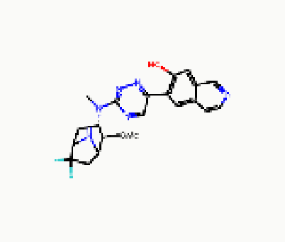 CO[C@H]1C2CC(F)(F)C(C[C@@H]1N(C)c1ncc(-c3cc4ccncc4cc3O)nn1)N2